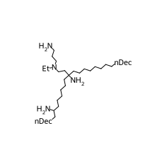 CCCCCCCCCCCCCCCCCCC(N)(CCCCCCC(N)CCCCCCCCCCC)CCN(CC)CCCN